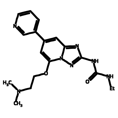 CCNC(=O)Nc1nc2cc(-c3cccnc3)cc(OCCN(C)C)n2n1